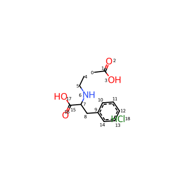 CC(=O)O.CCNC(Cc1ccccc1)C(=O)O.Cl